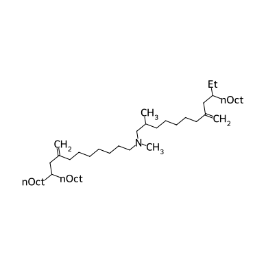 C=C(CCCCCC(C)CN(C)CCCCCCCC(=C)CC(CCCCCCCC)CCCCCCCC)CC(CC)CCCCCCCC